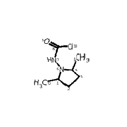 CC1CCC(C)N1NC(=O)Cl